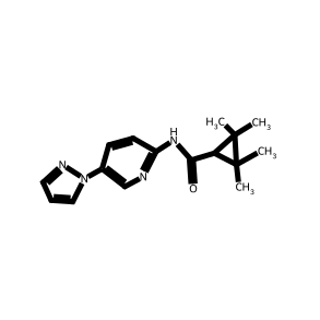 CC1(C)C(C(=O)Nc2ccc(-n3cccn3)cn2)C1(C)C